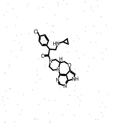 O=C(C(CNC1CC1)c1ccc(Cl)cc1)N1CCN2c3ncnc4[nH]cc(c34)OC[C@@H]2C1